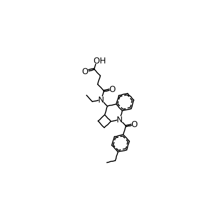 CCc1ccc(C(=O)N2c3ccccc3C(N(CC)C(=O)CCC(=O)O)C3CCC32)cc1